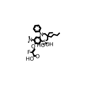 CCCCC1(CC)CN(c2ccccc2)c2cc(N(C)C)c(OC=C(F)C(=O)O)cc2S(O)(O)C1